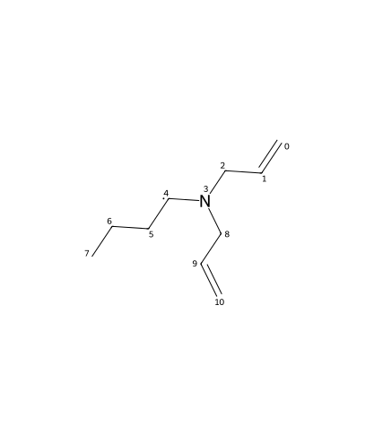 C=CCN([CH]CCC)CC=C